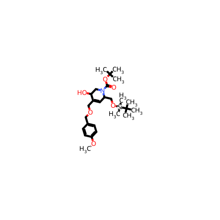 COc1ccc(COCC2=CC(CO[Si](C)(C)C(C)(C)C)N(C(=O)OC(C)(C)C)CC2O)cc1